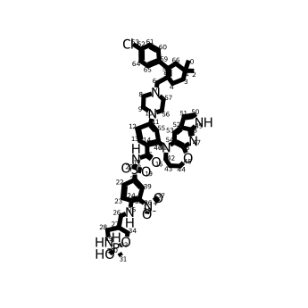 CC1(C)CCC(CN2CCN(c3ccc(C(=O)NS(=O)(=O)c4ccc(NCC5CN[PH](C)(O)OC5)c([N+](=O)[O-])c4)c(N4CCCOc5nc6[nH]ccc6cc54)c3)CC2)=C(c2ccc(Cl)cc2)C1